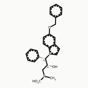 CN(C[C@@H](O)[C@H](c1ccccc1)n1ccc2cc(OCc3ccccc3)ccc21)C(=O)O